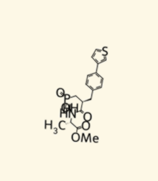 COC(=O)[C@H](C)NC(=O)[C@H](Cc1ccc(-c2ccsc2)cc1)C[PH](=O)O